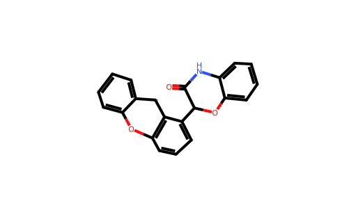 O=C1Nc2ccccc2OC1c1cccc2c1[CH]c1ccccc1O2